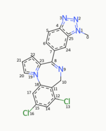 Cn1nnc2ccc(C3=NCc4c(Cl)cc(Cl)cc4-n4cccc43)cc21